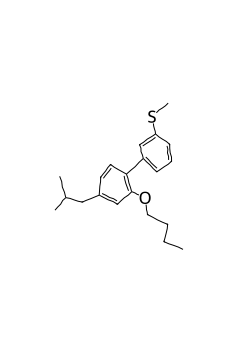 CCCCOc1cc(CC(C)C)ccc1-c1cccc(SC)c1